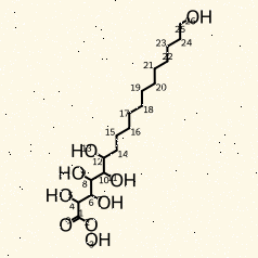 O=C(OO)C(O)C(O)C(O)C(O)C(O)CCCCCCCCCCCCO